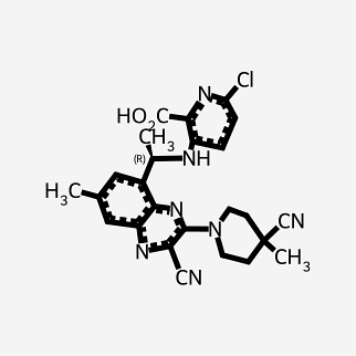 Cc1cc([C@@H](C)Nc2ccc(Cl)nc2C(=O)O)c2nc(N3CCC(C)(C#N)CC3)c(C#N)nc2c1